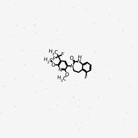 COc1nc(OC)c(C(C)(F)F)cc1N1CCc2c(F)cccc2NC1=O